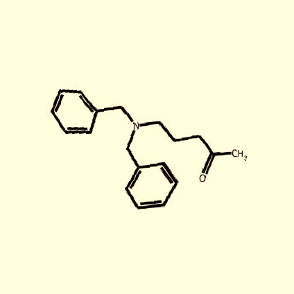 CC(=O)CCCN(Cc1ccccc1)Cc1ccccc1